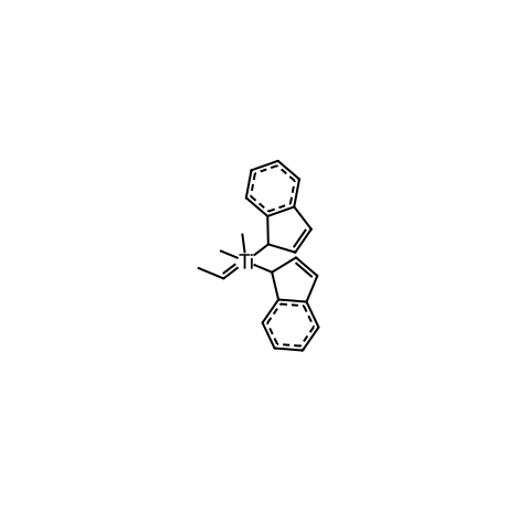 C[CH]=[Ti]([CH3])([CH3])([CH]1C=Cc2ccccc21)[CH]1C=Cc2ccccc21